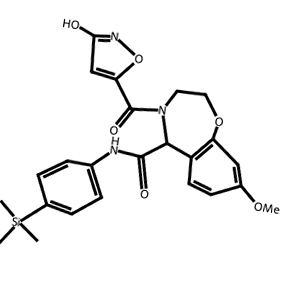 COc1ccc2c(c1)OCCN(C(=O)c1cc(O)no1)C2C(=O)Nc1ccc([Si](C)(C)C)cc1